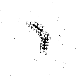 FC(F)(F)C(F)(F)C(F)(F)C(F)(F)C(F)(N=C=NC(F)(C(F)(F)F)C(F)(F)C(F)(F)C(F)(F)C(F)(F)F)C(F)(F)F